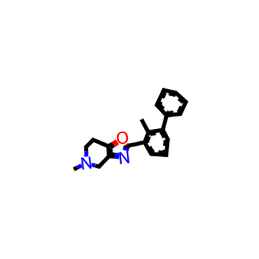 Cc1c(-c2ccccc2)cccc1-c1nc2c(o1)CCN(C)C2